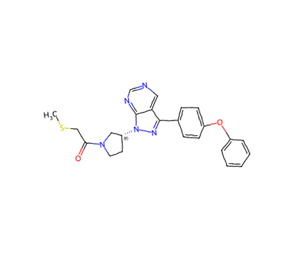 CSCC(=O)N1CC[C@@H](n2nc(-c3ccc(Oc4ccccc4)cc3)c3cncnc32)C1